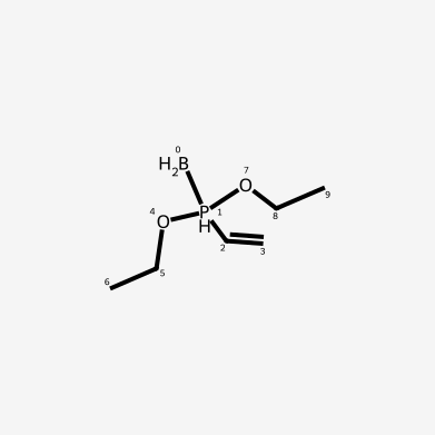 B[PH](C=C)(OCC)OCC